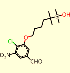 CC(C)(CCCCOc1cc(C=O)cc([N+](=O)[O-])c1Cl)[Si](C)(C)O